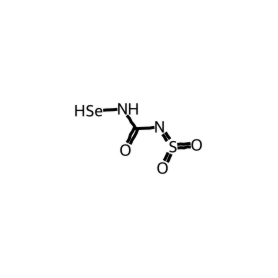 O=C(N=S(=O)=O)N[SeH]